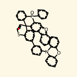 O=P1(c2ccccc2)c2ccccc2C2(c3ccccc3Sc3cc(-c4cccc(N5c6ccccc6Oc6ccccc65)c4)ccc32)c2cc3c(cc21)oc1ccccc13